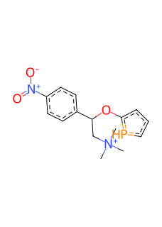 C[N+](C)(C)CC(Oc1ccc[pH]1)c1ccc([N+](=O)[O-])cc1